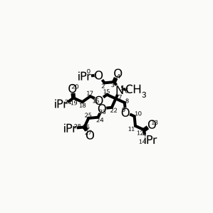 CC(C)OCC(=O)N(C)C(COCCC(=O)C(C)C)(COCCC(=O)C(C)C)COCCC(=O)C(C)C